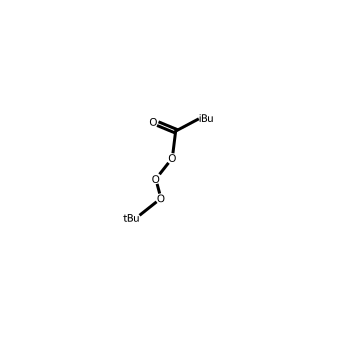 CCC(C)C(=O)OOOC(C)(C)C